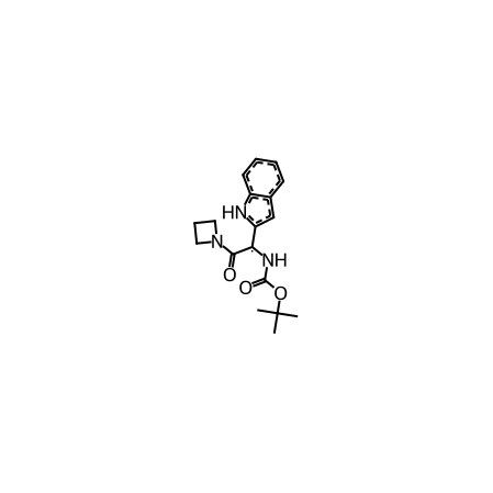 CC(C)(C)OC(=O)N[C](C(=O)N1CCC1)c1cc2ccccc2[nH]1